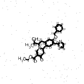 CCOC(=O)C1=CN2C(CC1=O)c1cc(-c3nccs3)c(OCc3ccccc3)cc1CC2C(C)C